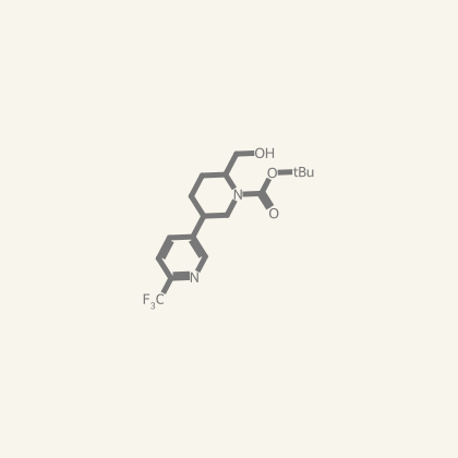 CC(C)(C)OC(=O)N1CC(c2ccc(C(F)(F)F)nc2)CCC1CO